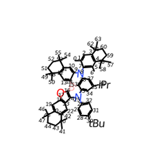 Cc1cc2c(c(C)c1N1c3cc4c(cc3B3c5oc6cc7c(cc6c5N(c5ccc(C(C)(C)C)cc5)c5cc(C(C)C)cc1c53)C(C)(C)CCC7(C)C)C(C)(C)CCC4(C)C)C(C)(C)CCC2(C)C